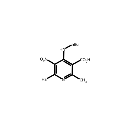 CCCCNc1c(C(=O)O)c(C)nc(S)c1[N+](=O)[O-]